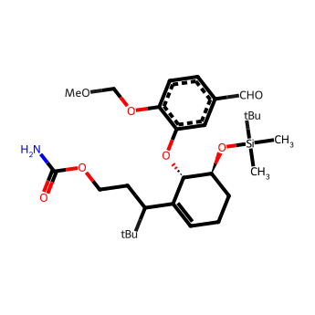 COCOc1ccc(C=O)cc1O[C@H]1C(C(CCOC(N)=O)C(C)(C)C)=CCC[C@@H]1O[Si](C)(C)C(C)(C)C